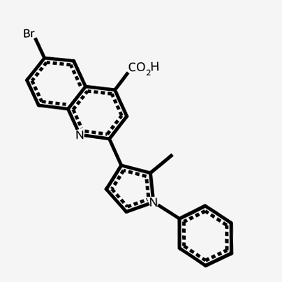 Cc1c(-c2cc(C(=O)O)c3cc(Br)ccc3n2)ccn1-c1ccccc1